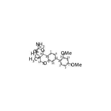 COc1ccc(-c2ccc3c(c2)OCC(C)(C)C3OC(N)=O)c(OC)c1